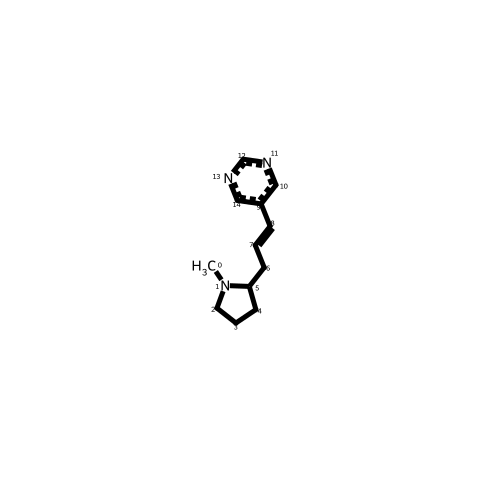 CN1CCCC1C/C=C/c1cncnc1